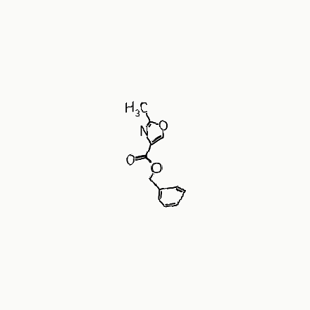 Cc1nc(C(=O)OCc2ccccc2)co1